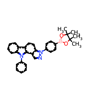 CC1(C)OB(c2ccc(-n3ncc4c3ccc3c5ccccc5n(-c5ccccc5)c34)cc2)OC1(C)C